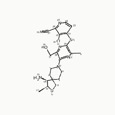 Cc1nc(N2CCC3(CC2)CO[C@@H](C)[C@H]3N)c(CO)nc1Sc1ccnc(C#N)c1Cl